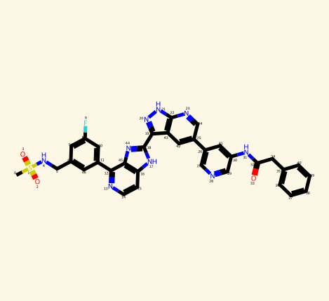 CS(=O)(=O)NCc1cc(F)cc(-c2nccc3[nH]c(-c4n[nH]c5ncc(-c6cncc(NC(=O)Cc7ccccc7)c6)cc45)nc23)c1